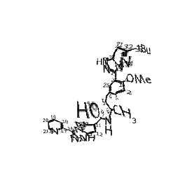 COc1ccc(CC(C)NC(O)c2cc3[nH]nc(-c4ccccn4)n3n2)cc1-c1n[nH]c2cc(C(C)(C)C)nn12